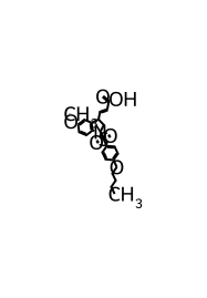 CCCCOc1ccc(S(=O)(=O)N2CC(/C=C/C(=O)O)c3cc(OC)ccc32)cc1